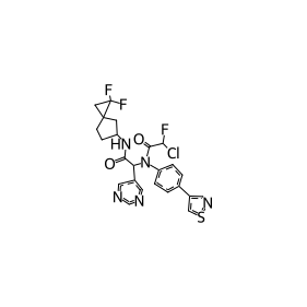 O=C(NC1CCC2(C1)CC2(F)F)C(c1cncnc1)N(C(=O)C(F)Cl)c1ccc(-c2cnsc2)cc1